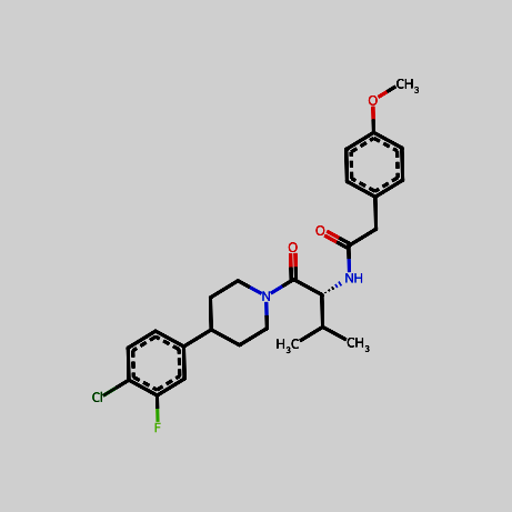 COc1ccc(CC(=O)N[C@@H](C(=O)N2CCC(c3ccc(Cl)c(F)c3)CC2)C(C)C)cc1